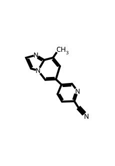 Cc1cc(-c2ccc(C#N)nc2)cn2ccnc12